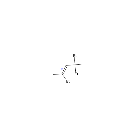 CC/C(C)=C\C(C)(CC)CC